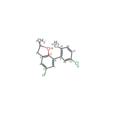 [CH2][C@@H]1Cc2cc(F)cc(-c3cc(Cl)ccc3C)c2O1